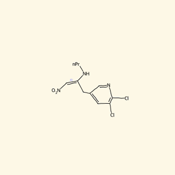 CCCN/C(=C/[N+](=O)[O-])Cc1cnc(Cl)c(Cl)c1